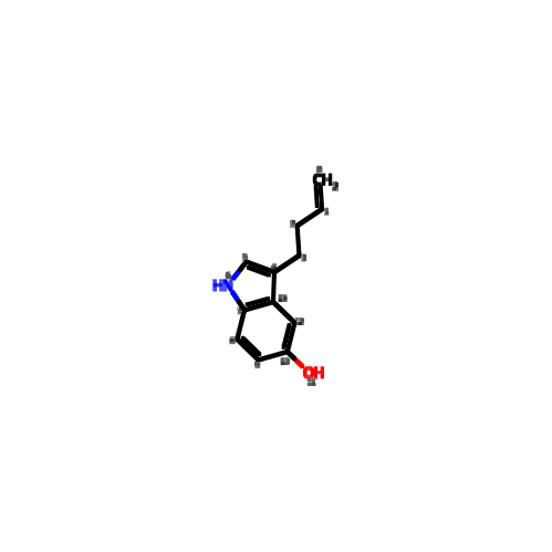 C=CCCc1c[nH]c2ccc(O)cc12